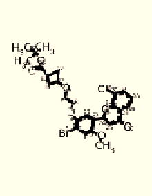 COc1cc(Br)c(OCCOC2CC(C(=O)OC(C)(C)C)C2)cc1-c1cc(=O)c2cccc(Cl)c2o1